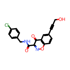 O=C(NCc1ccc(Cl)cc1)c1noc2ccc(C#CCO)cc2c1=O